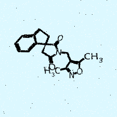 Cc1noc(C)c1CN1C(=O)C[C@@]2(CCc3ccccc32)C1=O